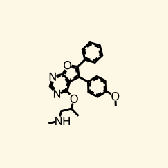 CNCC(C)Oc1ncnc2oc(-c3ccccc3)c(-c3ccc(OC)cc3)c12